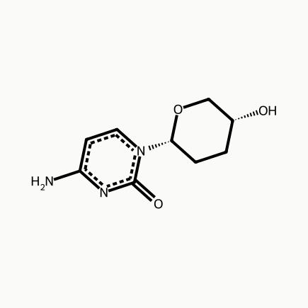 Nc1ccn([C@H]2CC[C@@H](O)CO2)c(=O)n1